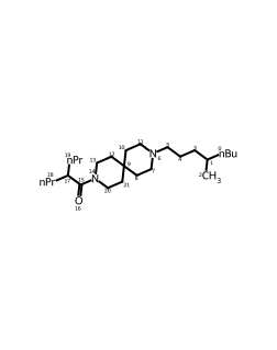 CCCCC(C)CCCN1CCC2(CC1)CCN(C(=O)C(CCC)CCC)CC2